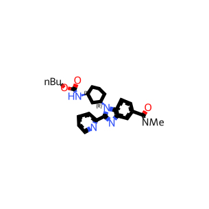 CCCCOC(=O)N[C@H]1CCC[C@@H](n2c(-c3ccccn3)nc3cc(C(=O)NC)ccc32)C1